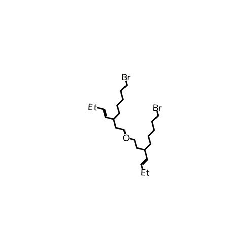 CCC=CC(CCCCCBr)CCOCCC(C=CCC)CCCCCBr